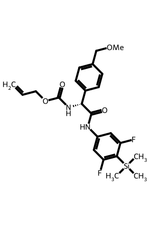 C=CCOC(=O)N[C@@H](C(=O)Nc1cc(F)c([Si](C)(C)C)c(F)c1)c1ccc(COC)cc1